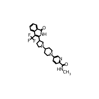 CNC(=O)c1ccc(N2CCC(N3CCC(c4[nH]c(=O)c5ccccc5c4C(F)(F)F)C3)CC2)cn1